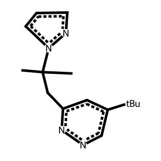 CC(C)(C)c1cnnc(CC(C)(C)n2cccn2)c1